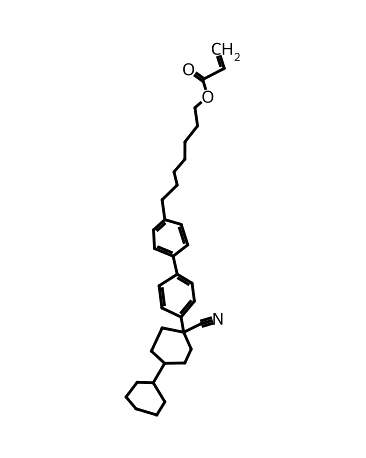 C=CC(=O)OCCCCCCCc1ccc(-c2ccc(C3(C#N)CCC(C4CCCCC4)CC3)cc2)cc1